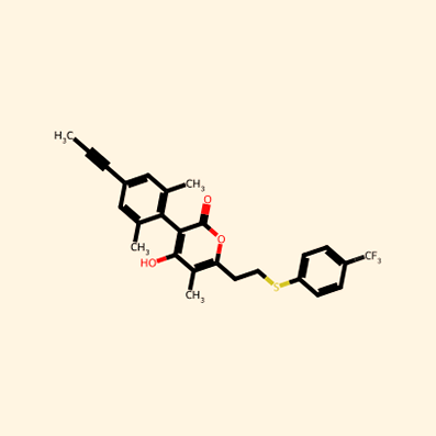 CC#Cc1cc(C)c(-c2c(O)c(C)c(CCSc3ccc(C(F)(F)F)cc3)oc2=O)c(C)c1